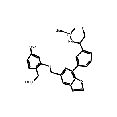 CCOC(=O)Cc1ccc(OC)cc1OCc1cc(-c2cccc(C(CF)N[S@+]([O-])C(C)(C)C)c2)c2occc2c1